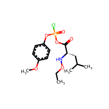 CCON[C@@H](CC(C)C)C(=O)OP(=O)(Cl)Oc1ccc(OC)cc1